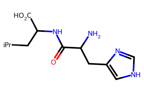 CC(C)CC(NC(=O)C(N)Cc1c[nH]cn1)C(=O)O